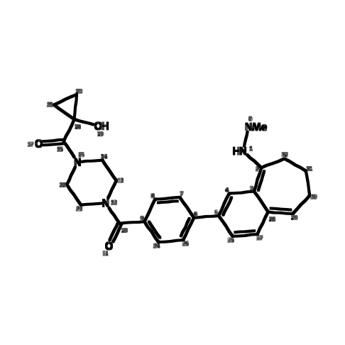 CNNC1=c2cc(-c3ccc(C(=O)N4CCN(C(=O)C5(O)CC5)CC4)cc3)ccc2=CCCC1